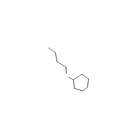 CCCCOC1CCCCC1